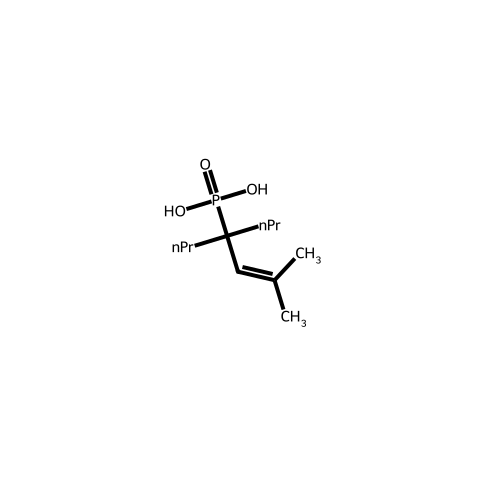 CCCC(C=C(C)C)(CCC)P(=O)(O)O